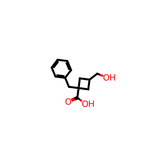 O=C(O)C1(Cc2ccccc2)CC(CO)C1